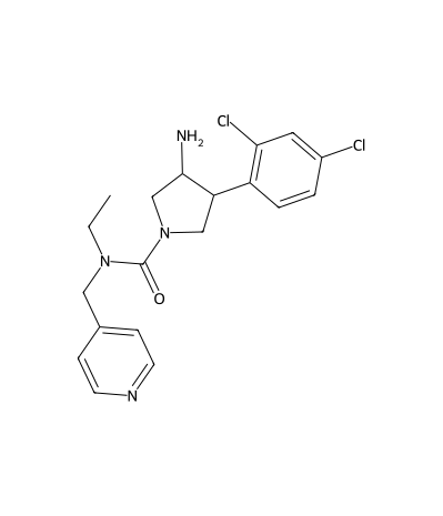 CCN(Cc1ccncc1)C(=O)N1CC(N)C(c2ccc(Cl)cc2Cl)C1